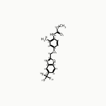 COC(=O)Nc1ccc(OCc2nc3cc(C(F)(F)F)ccc3o2)cc1C